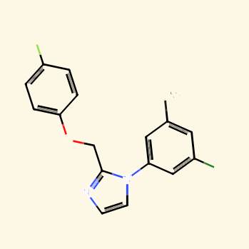 COc1cc(Cl)cc(-n2ccnc2COc2ccc(F)cc2)c1